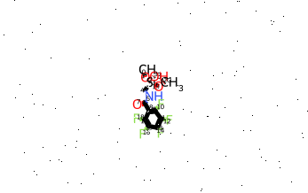 CO[Si](O)(CNC(=O)c1c(F)c(F)c(F)c(F)c1F)OC